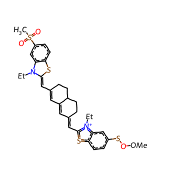 CCN1/C(=C/C2=CC3=C/C(=C/c4sc5ccc(SOOC)cc5[n+]4CC)CCC3CC2)Sc2ccc(S(C)(=O)=O)cc21